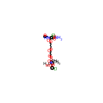 C[C@@H]1N(C(=O)OCOC(=O)CCCC(=O)OCCCCCOC(=O)c2cc(S(N)(=O)=O)c(Cl)cc2NCc2ccco2)C(C)(C)CO[C@@]1(O)c1cccc(Cl)c1